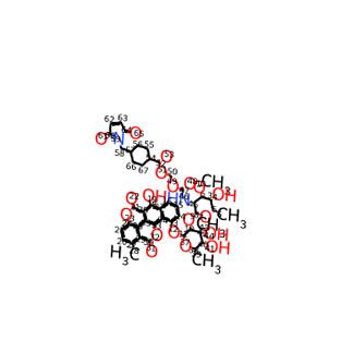 CO[C@H]1[C@@H](O)[C@@H](C)O[C@H](O[C@H]2[C@H](Oc3cccc4c(O)c5c(=O)oc6ccc(C)c7c(=O)oc(c34)c5c67)O[C@H](C)[C@H](O)[C@]2(C)O)[C@@H]1NC(=O)OCOC(=O)C1CCC(CN2C(=O)C=CC2=O)CC1